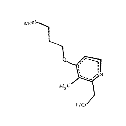 CCCCCCCCCCOc1ccnc(CO)c1C